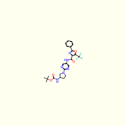 CC(C)(C)OC(=O)NC1CCN(c2ncc(NC(=O)c3nc(-c4ccccc4)oc3C(F)(F)F)cn2)C1